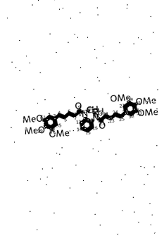 COc1cc(/C=C/C=C/C(=O)N(C)c2ccccc2N(C)C(=O)/C=C/C=C/c2cc(OC)c(OC)c(OC)c2)cc(OC)c1OC